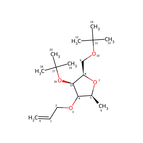 C=CCOC1[C@H](C)O[C@H](COC(C)(C)C)[C@@H]1OC(C)(C)C